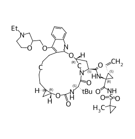 C=C[C@@H]1C[C@]1(NC(=O)[C@@H]1C[C@@H]2CN1C(=O)[C@H](C(C)(C)C)NC(=O)O[C@@H]1C[C@H]1CCCCCc1c(nc3ccccc3c1OCC1CN(CC)CCO1)O2)C(=O)NS(=O)(=O)C1(C)CC1